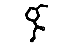 C=CCC(=O)N1CCC[C@@H](CC)C1